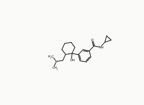 CN(C)CC1CCCCC1(O)c1cccc(C(=O)NC2CC2)c1